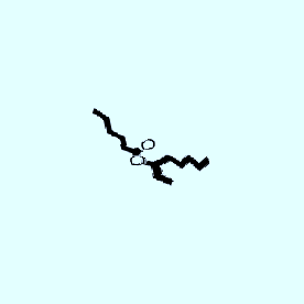 CCCCCC(=O)OC(CC)CCCCC